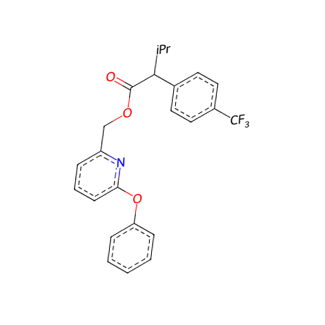 CC(C)C(C(=O)OCc1cccc(Oc2ccccc2)n1)c1ccc(C(F)(F)F)cc1